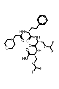 O=C(CN1CCOCC1)N[C@@H](CCc1ccccc1)C(=O)N[C@@H](COC(F)F)C(=O)N[C@@H](COC(F)F)C(=O)O